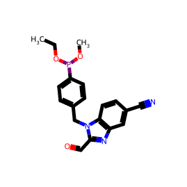 CCOP(OC)c1ccc(Cn2c(C=O)nc3cc(C#N)ccc32)cc1